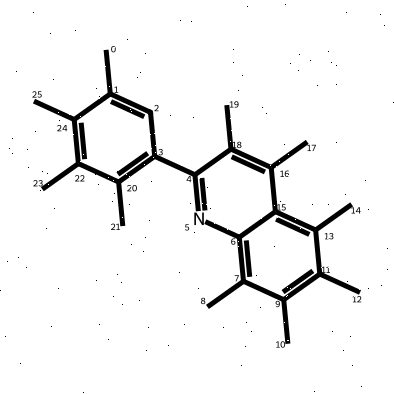 Cc1cc(-c2nc3c(C)c(C)c(C)c(C)c3c(C)c2C)c(C)c(C)c1C